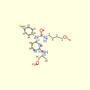 COCCCCNC(=O)N(c1ccc(F)cc1)c1ccnc(NC(C)COC)n1